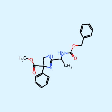 COC(=O)C1(c2ccccc2)CNC(C(C)NC(=O)OCc2ccccc2)=N1